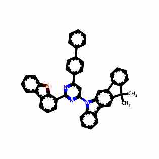 CC1(C)c2ccccc2-c2cc3c(cc21)c1ccccc1n3-c1cc(-c2ccc(-c3ccccc3)cc2)nc(-c2cccc3c2sc2ccccc23)n1